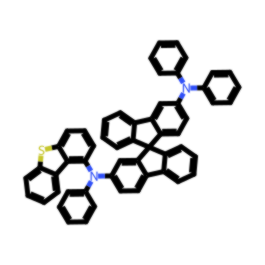 c1ccc(N(c2ccccc2)c2ccc3c(c2)-c2ccccc2C32c3ccccc3-c3ccc(N(c4ccccc4)c4cccc5sc6ccccc6c45)cc32)cc1